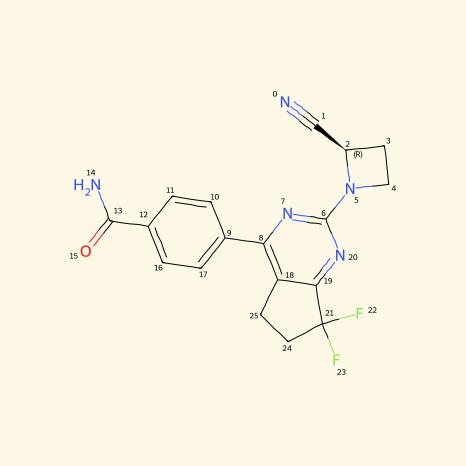 N#C[C@H]1CCN1c1nc(-c2ccc(C(N)=O)cc2)c2c(n1)C(F)(F)CC2